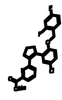 COC(=O)c1cccc(C2=C(c3cc(Cl)ccc3OCc3ccc(F)cc3F)CCC2)n1